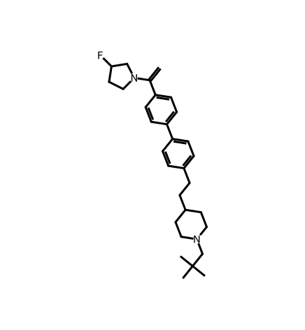 C=C(c1ccc(-c2ccc(CCC3CCN(CC(C)(C)C)CC3)cc2)cc1)N1CCC(F)C1